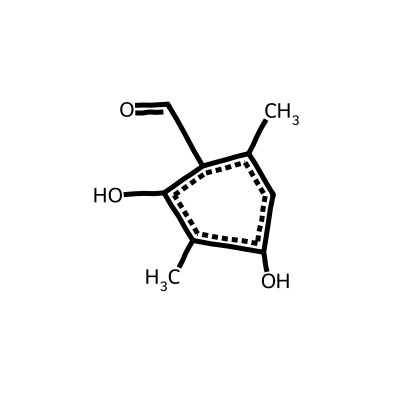 Cc1cc(O)c(C)c(O)c1C=O